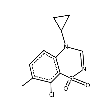 Cc1ccc2c(c1Cl)S(=O)(=O)N=CN2C1CC1